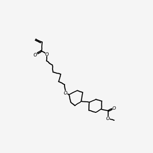 C=CC(=O)OCCCCCCOC1CCC(C2CCC(C(=O)OC)CC2)CC1